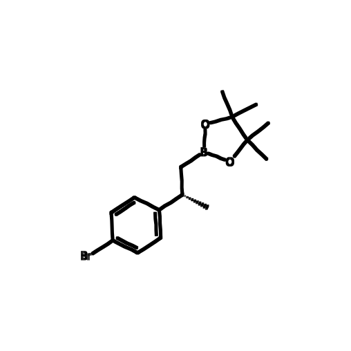 C[C@@H](CB1OC(C)(C)C(C)(C)O1)c1ccc(Br)cc1